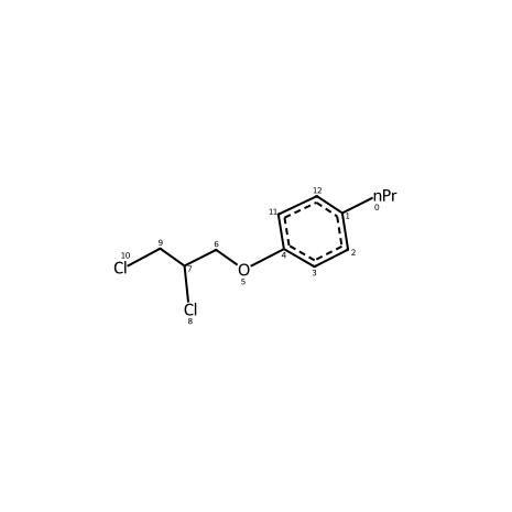 [CH2]CCc1ccc(OCC(Cl)CCl)cc1